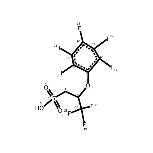 O=S(=O)(O)CC(Oc1c(I)c(I)c(F)c(I)c1I)C(F)(F)F